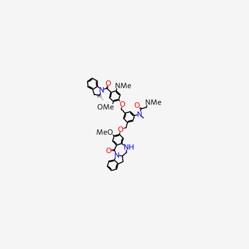 CNCC(=O)N(C)c1cc(COc2cc3c(cc2OC)C(=O)N2c4ccccc4CC2CN3)cc(COc2cc(NC)c(C(=O)N3c4ccccc4C[C@H]3C)cc2OC)c1